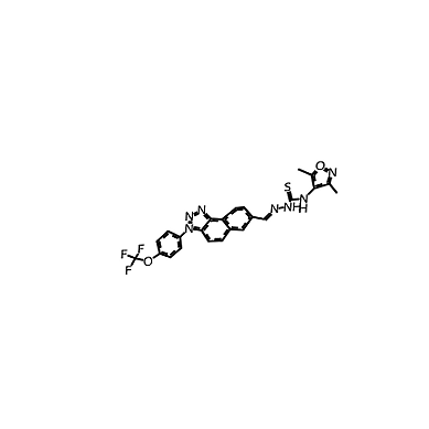 Cc1noc(C)c1NC(=S)N/N=C/c1ccc2c(ccc3c2nnn3-c2ccc(OC(F)(F)F)cc2)c1